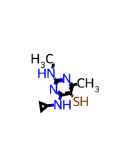 CCNc1nc(C)c(S)c(NC2CC2)n1